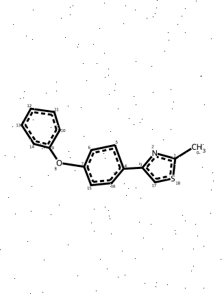 Cc1nc(-c2ccc(Oc3ccccc3)cc2)cs1